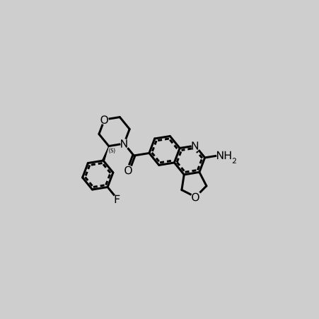 Nc1nc2ccc(C(=O)N3CCOC[C@@H]3c3cccc(F)c3)cc2c2c1COC2